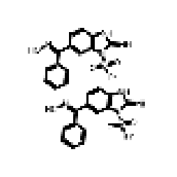 CC(C)S(=O)(=O)n1c(=N)[nH]c2ccc(/C(=N/O)c3ccccc3)cc21.CC(C)S(=O)(=O)n1c(=N)[nH]c2ccc(/C(=N/O)c3ccccc3)cc21